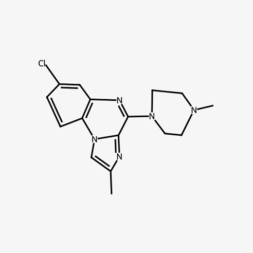 Cc1cn2c(n1)c(N1CCN(C)CC1)nc1cc(Cl)ccc12